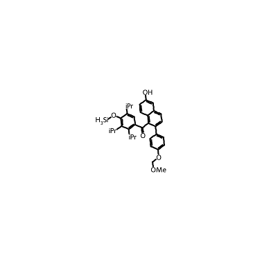 COCOc1ccc(-c2ccc3cc(O)ccc3c2C(=O)c2cc(C(C)C)c(O[SiH3])c(C(C)C)c2C(C)C)cc1